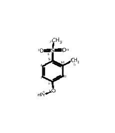 CCCOc1ccc(S(C)(=O)=O)c(C)c1